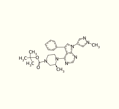 C[C@H]1CN(C(=O)OC(C)(C)C)CCN1c1ncnc2c1c(-c1ccccc1)cn2-c1cnn(C)c1